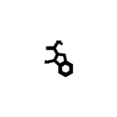 CC(=O)N1c2ccccc2CC1C(N)=S